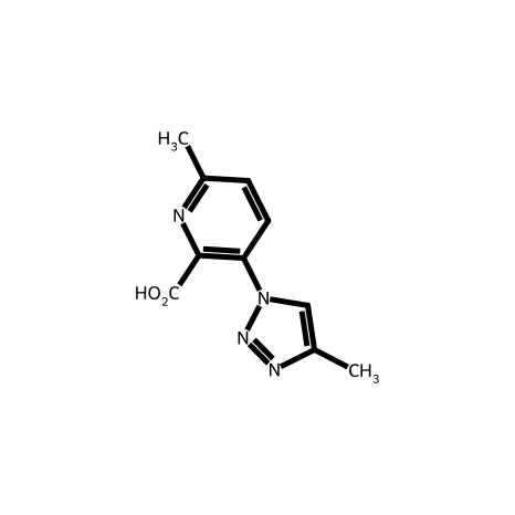 Cc1cn(-c2ccc(C)nc2C(=O)O)nn1